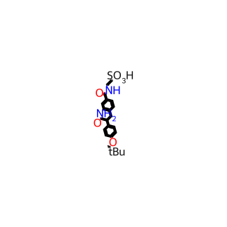 CC(C)(C)COc1ccc(C(Cc2ccc(C(=O)NCCS(=O)(=O)O)cc2)C(N)=O)cc1